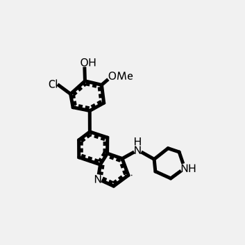 COc1cc(-c2ccc3nc[c]c(NC4CCNCC4)c3c2)cc(Cl)c1O